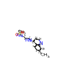 Cc1ccc2c(NCCCNS(C)(=O)=O)ccnc2c1